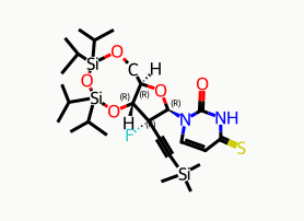 CC(C)[Si]1(C(C)C)OC[C@H]2O[C@@H](n3ccc(=S)[nH]c3=O)[C@@](F)(C#C[Si](C)(C)C)[C@@H]2O[Si](C(C)C)(C(C)C)O1